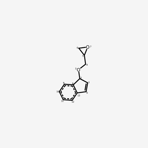 C1=CC(OCC2CO2)c2ccccc21